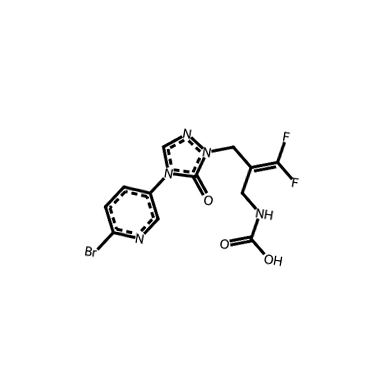 O=C(O)NCC(Cn1ncn(-c2ccc(Br)nc2)c1=O)=C(F)F